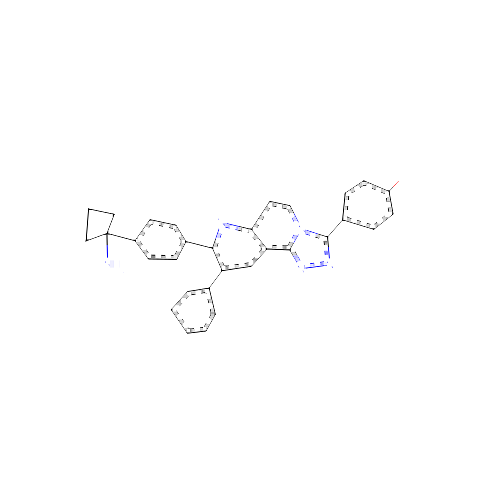 NC1(c2ccc(-c3nc4ccn5c(-c6ccc(O)cc6)nnc5c4cc3-c3ccccc3)cc2)CCC1